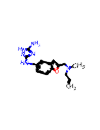 C=CCN(C)Cc1cc2cc(Nc3n[nH]c(N)n3)ccc2o1